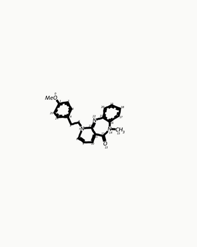 COc1ccc(CCN2C=CC=C3C(=O)N(C)c4ccccc4N=C32)cc1